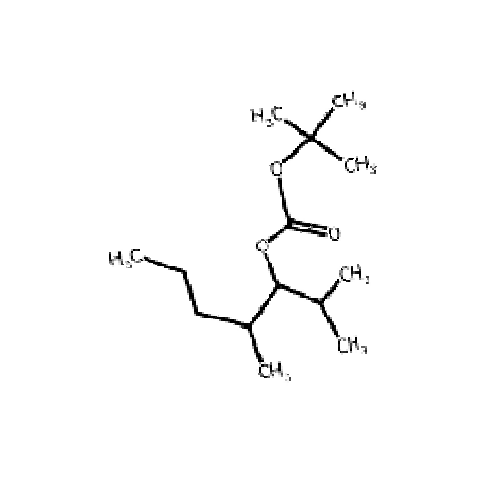 CCCC(C)C(OC(=O)OC(C)(C)C)C(C)C